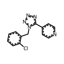 Clc1ccccc1Cn1nnnc1-c1ccncc1